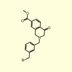 COC(=O)c1ccc2c(c1)CN(Cc1cccc(CBr)c1)CC2=O